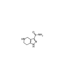 NC(=O)c1n[nH]c2c1CNCC2